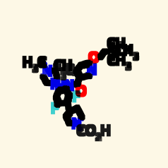 CC1CN(c2cc(F)c(C3=CCN(C(=O)O)CC3)c(F)c2NC(=O)c2cnc(OCC[Si](C)(C)C)cc2C(F)(F)F)CCN1C